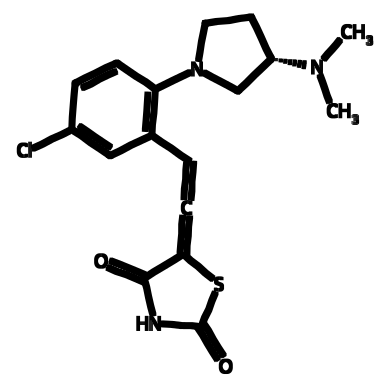 CN(C)[C@H]1CCN(c2ccc(Cl)cc2C=C=C2SC(=O)NC2=O)C1